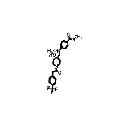 COC(=O)c1ccc(N(C)CC2(O)CCN(C(=O)Cc3ccc(C(F)(F)F)cc3)CC2)cc1